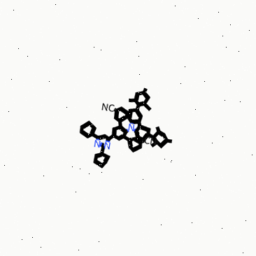 Cc1cc(C)c(-c2ccc3c(c2)c2cc(-c4c(C)cc(C)cc4C)ccc2n3-c2c(-c3cccc(C#N)c3)cc(-c3cc(-c4ccccc4)nc(-c4ccccc4)n3)cc2-c2cccc(C#N)c2)c(C)c1